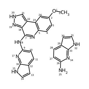 COc1ccc2nc(Nc3ccc4cc[nH]c4n3)c3n[nH]cc3c2c1.Nc1ccc2cc[nH]c2n1